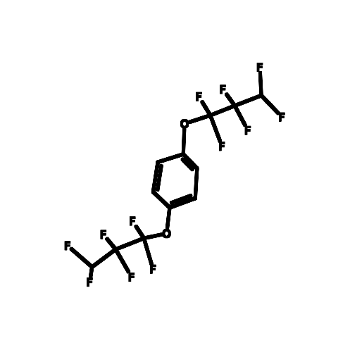 FC(F)C(F)(F)C(F)(F)Oc1ccc(OC(F)(F)C(F)(F)C(F)F)cc1